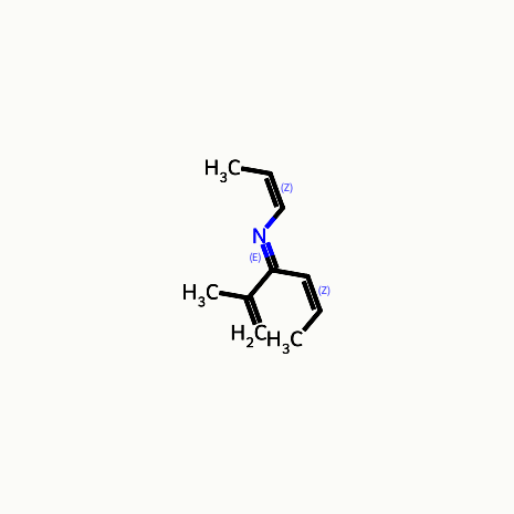 C=C(C)C(/C=C\C)=N/C=C\C